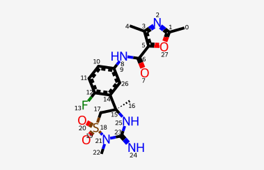 Cc1nc(C)c(C(=O)Nc2ccc(F)c([C@]3(C)CS(=O)(=O)N(C)C(=N)N3)c2)o1